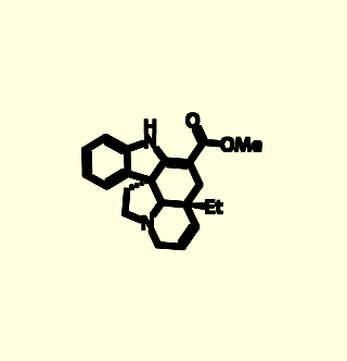 CC[C@]12C=CCN3CC[C@]4(C(=C(C(=O)OC)C1)Nc1ccccc14)C32